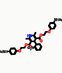 CC(=O)Nc1ccc(OCCOC(=O)C2=C(C)NC(C)=C(C(=O)OCCOc3ccc(NC(C)=O)cc3)C2c2ccccc2[N+](=O)[O-])cc1